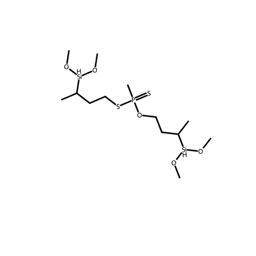 CO[SiH](OC)C(C)CCOP(C)(=S)SCCC(C)[SiH](OC)OC